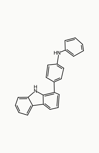 c1ccc(Nc2ccc(-c3cccc4c3[nH]c3ccccc34)cc2)cc1